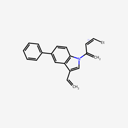 C=Cc1cn(C(=C)/C=C\CC)c2ccc(-c3ccccc3)cc12